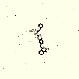 O=C(Nc1cc(Cc2n[nH]c(=O)c3c2CCCC3)ccc1F)NC(Cc1ccccc1)C(=O)O